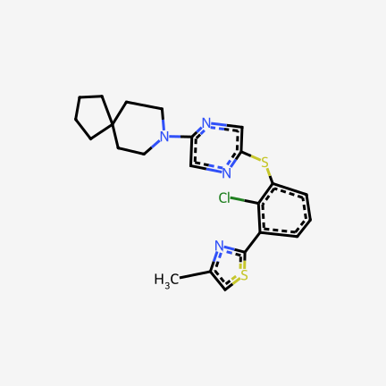 Cc1csc(-c2cccc(Sc3cnc(N4CCC5(CCCC5)CC4)cn3)c2Cl)n1